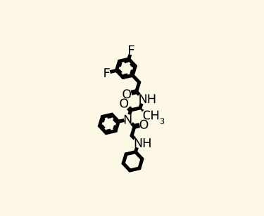 C[C@H](NC(=O)Cc1cc(F)cc(F)c1)C(=O)N(C(=O)CNC1CCCCC1)c1ccccc1